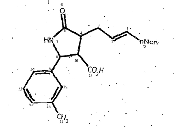 CCCCCCCCCC=CCC1C(=O)NC(c2cccc(C)c2)C1C(=O)O